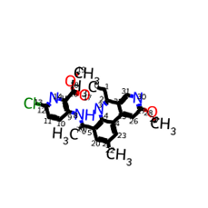 CCc1nc2c([C@@H](C)Nc3ccc(Cl)nc3C(=O)OC)cc(C)cc2c2cc(OC)ncc12